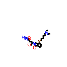 CCN(CC)CCCCCCSc1cccc2c1CN(C(C=O)CCC(=O)NC)C2=O